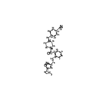 Cc1cc(CSc2ccccc2C(=O)N2CCN(Cc3ccc(C#N)cc3)CC2)no1